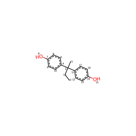 C[CH]C(C)(c1ccc(O)cc1)c1ccc(O)cc1